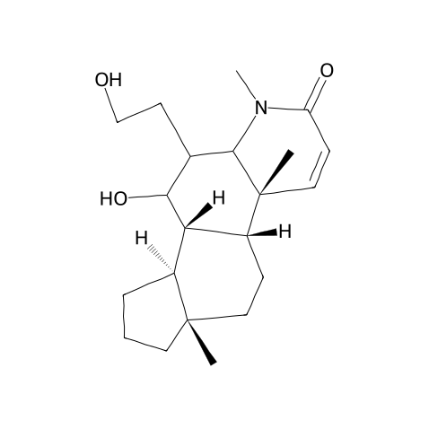 CN1C(=O)C=C[C@@]2(C)C1C(CCO)C(O)[C@@H]1[C@H]2CC[C@]2(C)CCC[C@@H]12